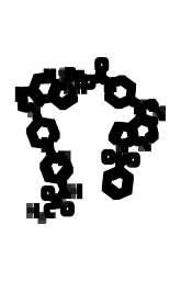 CC(C)(C)OC(=O)N1CCC(n2cnc3cnc4c(ccn4S(=O)(=O)c4ccccc4)c32)CC1.CS(=O)(=O)Nc1ccc(N2CCC(n3cnc4cnc5[nH]ccc5c43)CC2)nc1